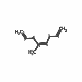 C=CCC=C(C)CC=C